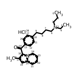 CCCN(CC)CCCCc1ccc(C(=O)c2c(C)cc3ccccn23)cc1.Cl